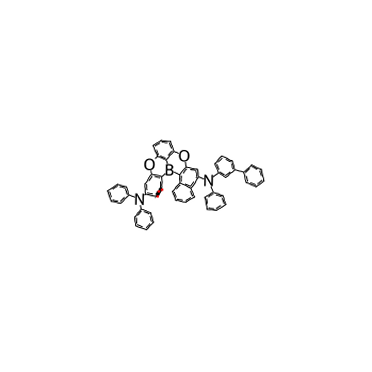 c1ccc(-c2cccc(N(c3ccccc3)c3cc4c(c5ccccc35)B3c5c(cccc5O4)Oc4cc(N(c5ccccc5)c5ccccc5)c5ccccc5c43)c2)cc1